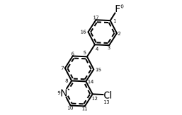 Fc1ccc(-c2ccc3nccc(Cl)c3c2)cc1